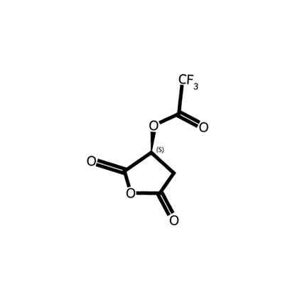 O=C1C[C@H](OC(=O)C(F)(F)F)C(=O)O1